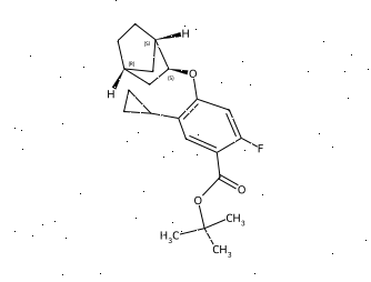 CC(C)(C)OC(=O)c1cc(C2CC2)c(O[C@H]2C[C@@H]3CC[C@H]2C3)cc1F